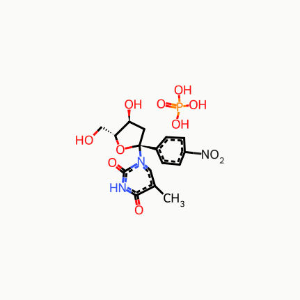 Cc1cn([C@@]2(c3ccc([N+](=O)[O-])cc3)C[C@H](O)[C@@H](CO)O2)c(=O)[nH]c1=O.O=P(O)(O)O